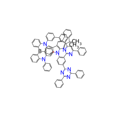 CC1(C)c2ccccc2-c2cc3c4ccccc4n(-c4ccc(-c5nc(-c6ccccc6)nc(-c6ccccc6)n5)cc4-c4nc(-c5ccccc5)cc(-c5cccc(-c6cccc(N7c8ccccc8B8c9ccccc9N(c9ccccc9)c9cccc7c98)c6)c5)n4)c3cc21